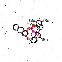 CN1c2ccccc2C(=O)N(Cc2ccccc2)P1Oc1cccc2c1C1c3ccccc3C2c2cccc(OP3Oc4c(cc(C(C)(C)C)cc4C(C)(C)C)Cc4cc(C(C)(C)C)cc(C(C)(C)C)c4O3)c21